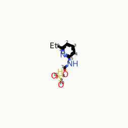 CCc1cccc(NCO[SH](=O)=O)n1